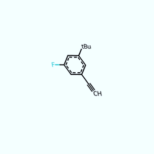 C#Cc1cc(F)cc(C(C)(C)C)c1